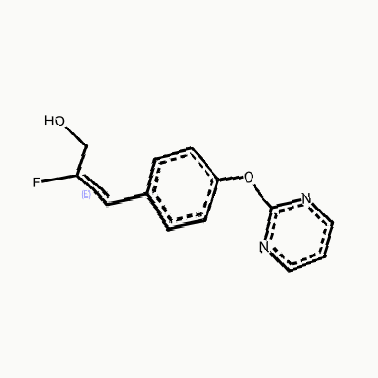 OC/C(F)=C\c1ccc(Oc2ncccn2)cc1